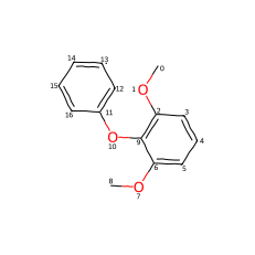 COc1cccc(OC)c1Oc1c[c]ccc1